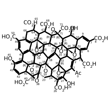 CC(=O)C1=C2C(C(=O)O)C3=CC(C(=O)O)=CC4C(O)C5[C@@]67O[C@]68C6=C9[C@]%10%11O[C@@]%10%12[C@@]%10(CC%13C(C(=O)O)=C(O)[C@@]1%14O[C@]%14(C6C2[C@]71O[C@]341)C%13%11)O[C@@]%10(C(=O)O)C1C=CC(O)=C2c3cc(C(=O)O)c4c6c3C([C@@]%123O[C@@]213)[C@]9(O)[C@]12O[C@]61C(C(C(=O)O)C4)C(C(=O)O)[C@]1(O[C@]51C(=O)O)C28